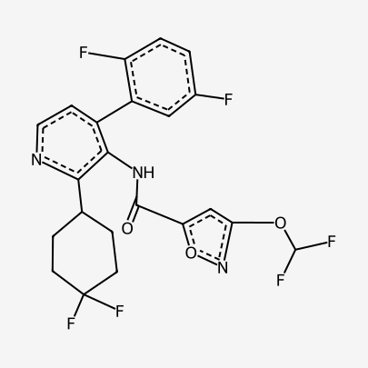 O=C(Nc1c(-c2cc(F)ccc2F)ccnc1C1CCC(F)(F)CC1)c1cc(OC(F)F)no1